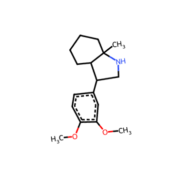 COc1ccc(C2CNC3(C)CCCCC23)cc1OC